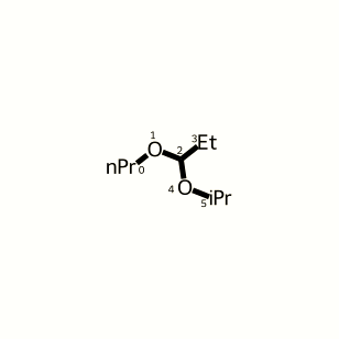 CCCOC(CC)OC(C)C